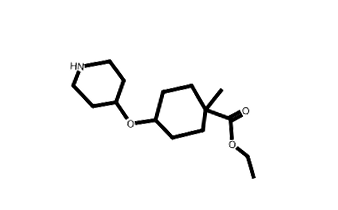 CCOC(=O)C1(C)CCC(OC2CCNCC2)CC1